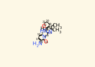 CCC(C)(C)/N=C(/Cn1cccc(N)c1=O)NC1CCCCO1